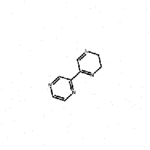 C1=NCCN=C1c1cnccn1